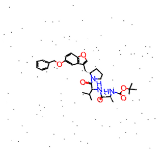 CC(C)[C@H](NC(=O)[C@H](C)NC(=O)OC(C)(C)C)C(=O)N1CCC[C@H]1Cc1coc2ccc(OCc3ccccc3)cc12